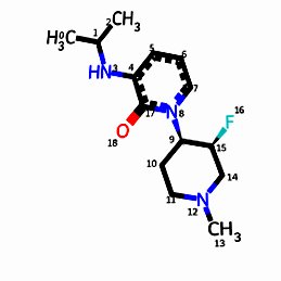 CC(C)Nc1cccn([C@@H]2CCN(C)C[C@@H]2F)c1=O